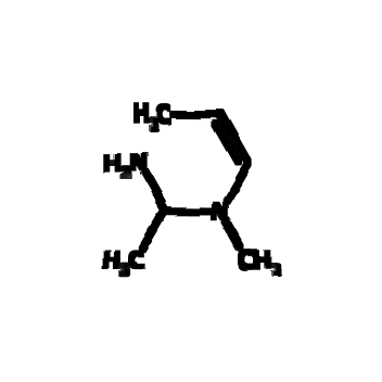 C/C=C\N(C)C(C)N